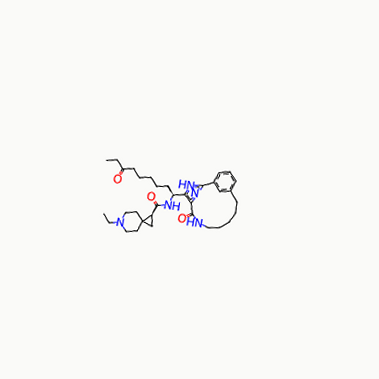 CCC(=O)CCCCC[C@H](NC(=O)[C@H]1CC12CCN(CC)CC2)c1[nH]c2nc1C(=O)NCCCCCc1cccc-2c1